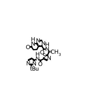 C[C@@H](NC(=O)c1ncnc2c1CCC(=O)N2)c1ncc(C(=O)Nc2ccnc(C(C)(C)C)n2)s1